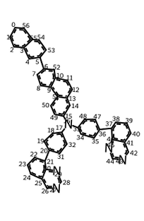 c1ccc2cc(-c3ccc4c(ccc5cc(N(c6ccc(-c7cccc8cncnc78)cc6)c6ccc(-c7cccc8cncnc78)cc6)ccc54)c3)ccc2c1